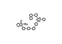 CC(C)(C)C1Nc2ccccc2N1c1cccc(-c2ccc(-c3cccc(-c4ccc(-c5nc(-c6ccccc6)nc(-c6cccc(-c7cccc8ccccc78)c6)n5)cc4)c3)cc2)c1